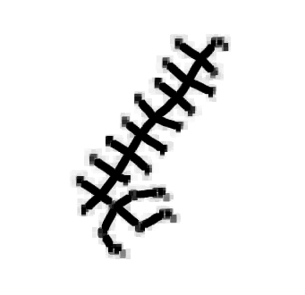 FC(F)(F)O[Si](OC(F)(F)F)(OC(F)(F)F)C(F)(F)C(F)(F)C(F)(F)C(F)(F)C(F)(F)C(F)(F)C(F)(F)C(F)(F)C(F)(F)F